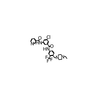 CCN1CCN(Cc2ccc(NC(=O)c3cc(Cl)cc(NC(=O)c4cccnc4)c3)cc2C(F)(F)F)CC1